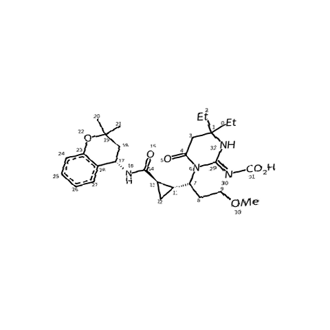 CCC1(CC)CC(=O)N(C(CCOC)[C@@H]2C[C@H]2C(=O)N[C@H]2CC(C)(C)Oc3ccccc32)C(=NC(=O)O)N1